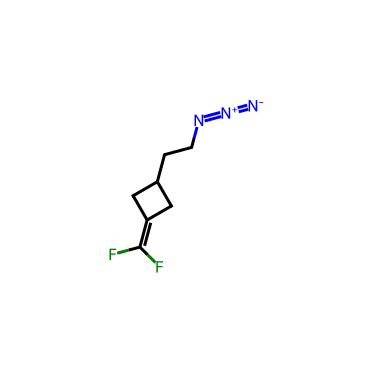 [N-]=[N+]=NCCC1CC(=C(F)F)C1